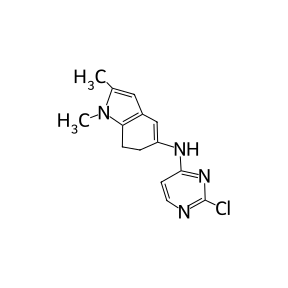 Cc1cc2c(n1C)CCC(Nc1ccnc(Cl)n1)=C2